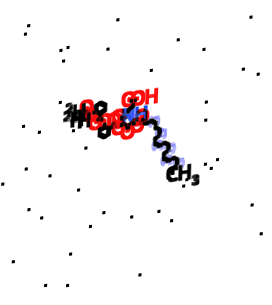 [2H]C([2H])([2H])C(=O)Oc1ccccc1C(=O)Oc1ccccc1C(=O)OC(C(=O)COC(=O)C/C=C\C/C=C\C/C=C\C/C=C\C/C=C\C/C=C\CC)C(=O)NCCC(=O)O